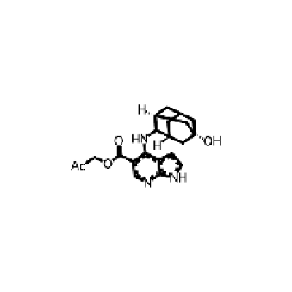 CC(=O)COC(=O)c1cnc2[nH]ccc2c1NC1[C@@H]2CC3C[C@H]1C[C@@](O)(C3)C2